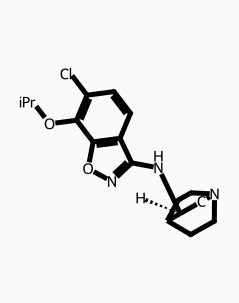 CC(C)Oc1c(Cl)ccc2c(N[C@H]3CN4CCC3CC4)noc12